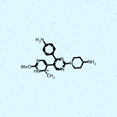 COC1=NC=C(c2cnc(N3CCC(N)CC3)nc2-c2ccc(N)cc2)[C@@H](C)N1